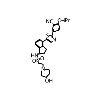 CC(C)Oc1ccc(-c2ncc(-c3cccc4c3CC[C@H]4NS(=O)(=O)CCN3CCC(O)CC3)s2)cc1C#N